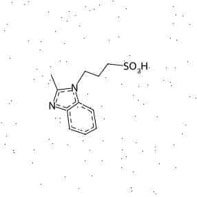 Cc1nc2ccccc2n1CCCS(=O)(=O)O